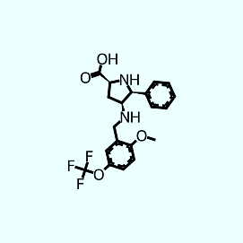 COc1ccc(OC(F)(F)F)cc1CN[C@H]1C[C@@H](C(=O)O)N[C@H]1c1ccccc1